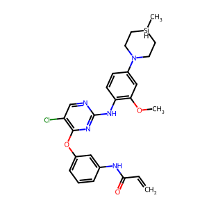 C=CC(=O)Nc1cccc(Oc2nc(Nc3ccc(N4CC[SiH](C)CC4)cc3OC)ncc2Cl)c1